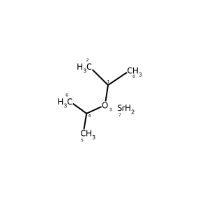 CC(C)OC(C)C.[SrH2]